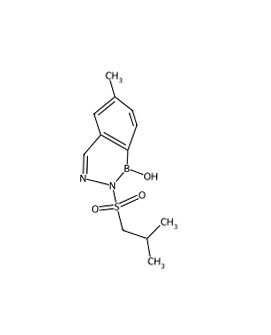 Cc1ccc2c(c1)C=NN(S(=O)(=O)CC(C)C)B2O